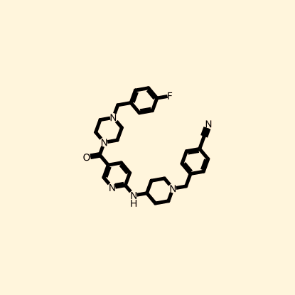 N#Cc1ccc(CN2CCC(Nc3ccc(C(=O)N4CCN(Cc5ccc(F)cc5)CC4)cn3)CC2)cc1